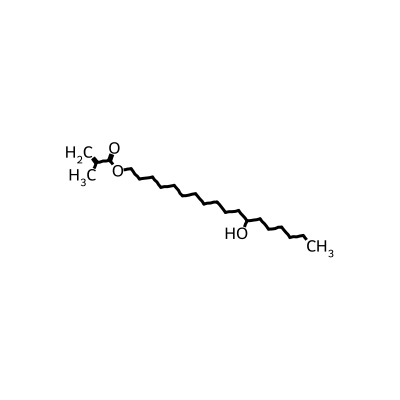 C=C(C)C(=O)OCCCCCCCCCCCC(O)CCCCCC